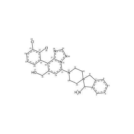 NC1c2ccccc2CC12CCN(c1cc(CO)c(-c3cccc(Cl)c3Cl)c3ncnn13)CC2